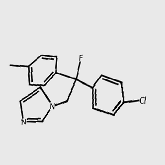 Cc1ccc(C(F)(Cn2ccnc2)c2ccc(Cl)cc2)cc1